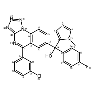 Cn1cncc1C(O)(c1ccc(F)cc1)c1ccc2c(c1)c(-c1cccc(Cl)c1)nc1nnnn12